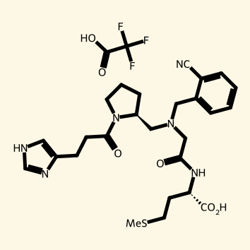 CSCC[C@H](NC(=O)CN(Cc1ccccc1C#N)C[C@@H]1CCCN1C(=O)CCc1c[nH]cn1)C(=O)O.O=C(O)C(F)(F)F